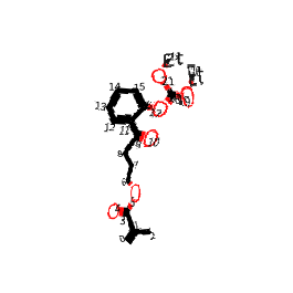 C=C(C)C(=O)OCCCC(=O)c1ccccc1OC(OCC)OCC